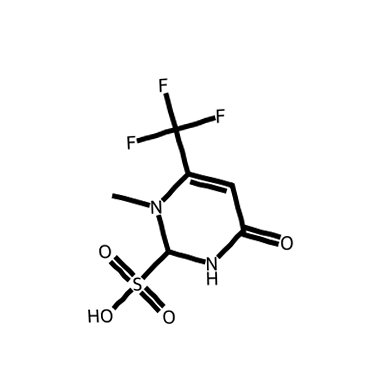 CN1C(C(F)(F)F)=CC(=O)NC1S(=O)(=O)O